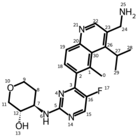 Cc1c(-c2nc(N[C@@H]3CCOC[C@H]3O)ncc2F)ccc2ncc(CN)c(C(C)C)c12